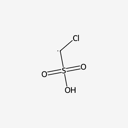 O=S(=O)(O)[CH]Cl